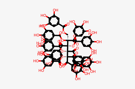 O=C(OC[C@](OC(=O)c1cc(O)c(O)c(O)c1)(C(=O)c1cc(O)c(O)c(O)c1)[C@](OC(=O)c1cc(O)c(O)c(O)c1)(C(=O)c1cc(O)c(O)c(O)c1)[C@@](OC(=O)c1cc(O)c(O)c(O)c1)(C(=O)c1cc(O)c(O)c(O)c1)[C@@](OC(=O)c1cc(O)c(O)c(O)c1)(C(=O)C(=O)c1cc(O)c(O)c(O)c1)C(=O)c1cc(O)c(O)c(O)c1)c1cc(O)c(O)c(O)c1